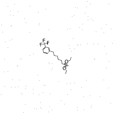 CCO[Si](C)(CCCCCCc1cccc(C(F)(F)F)c1)OCC